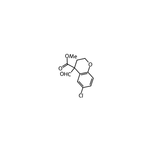 COC(=O)C1(C=O)CCOc2ccc(Cl)cc21